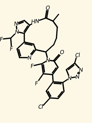 CC1CCCC(n2c(F)c(F)c(-c3cc(Cl)ccc3-n3cc(Cl)nn3)cc2=O)c2cc(ccn2)-c2c(cnn2C(F)F)NC1=O